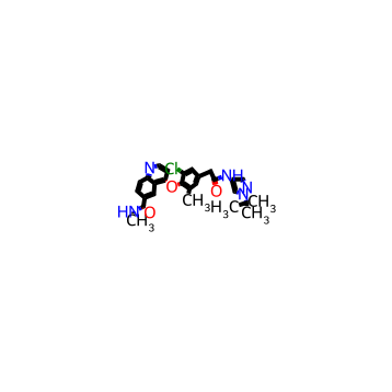 CNC(=O)c1ccc2nccc(Oc3c(C)cc(CC(=O)Nc4cnn(C(C)(C)C)c4)cc3Cl)c2c1